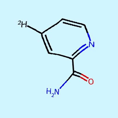 [2H]c1ccnc(C(N)=O)c1